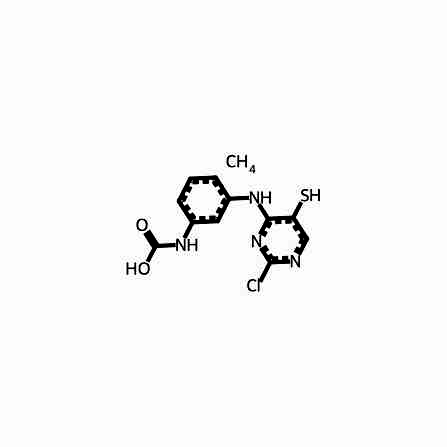 C.O=C(O)Nc1cccc(Nc2nc(Cl)ncc2S)c1